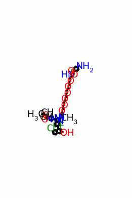 CN(CCOCCOCCOCCOCCOCCOCCNS(=O)(=O)c1ccc(N)cc1)c1nc(N2CCN(C(=O)OC(C)(C)C)CC2)c2cc(Cl)c(-c3cc(O)cc4ccccc34)c(F)c2n1